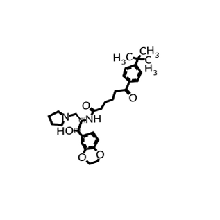 CC(C)(C)c1ccc(C(=O)CCCCC(=O)N[C@H](CN2CCCC2)[C@H](O)c2ccc3c(c2)OCCO3)cc1